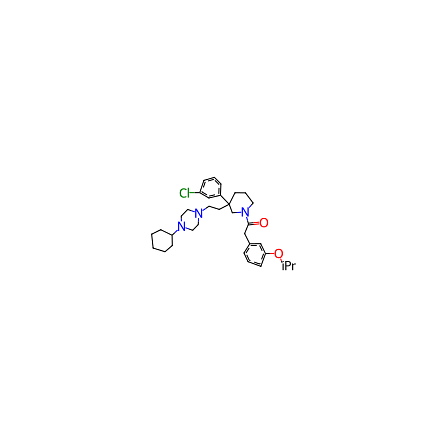 CC(C)Oc1cccc(CC(=O)N2CCCC(CCN3CCN(C4CCCCC4)CC3)(c3cccc(Cl)c3)C2)c1